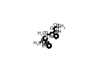 CNC(C)C(=O)c1[nH]c2ccccc2c1C[C@@H](N)C(=O)N1CCC[C@](Cc2ccccc2)(C(=O)N(C)N(C)C)C1.O